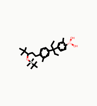 CCC(CC)(c1ccc(CCC(O[Si](C)(C)C(C)(C)C)C(C)(C)C)c(C)c1)c1ccc(B(O)O)c(C)c1